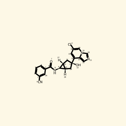 N#Cc1cccc(C(=O)N[C@H]2[C@@H]3C[C@](O)(c4cc(Cl)cn5cncc45)C[C@@H]32)c1